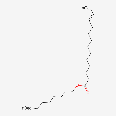 CCCCCCCCC=CCCCCCCCCCC(=O)OCCCCCCCCCCCCCCCCC